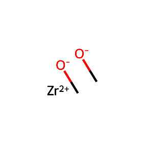 C[O-].C[O-].[Zr+2]